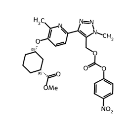 COC(=O)[C@@H]1CCC[C@H](Oc2ccc(-c3nnn(C)c3COC(=O)Oc3ccc([N+](=O)[O-])cc3)nc2C)C1